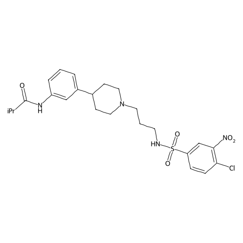 CC(C)C(=O)Nc1cccc(C2CCN(CCCNS(=O)(=O)c3ccc(Cl)c([N+](=O)[O-])c3)CC2)c1